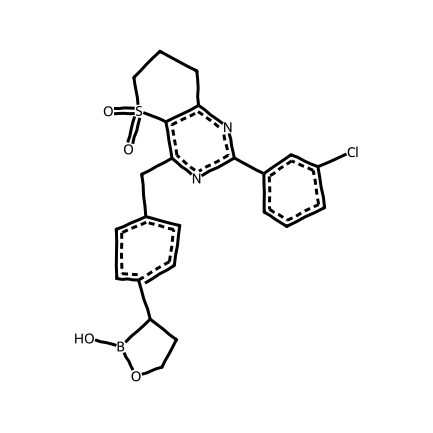 O=S1(=O)CCCc2nc(-c3cccc(Cl)c3)nc(Cc3ccc(C4CCOB4O)cc3)c21